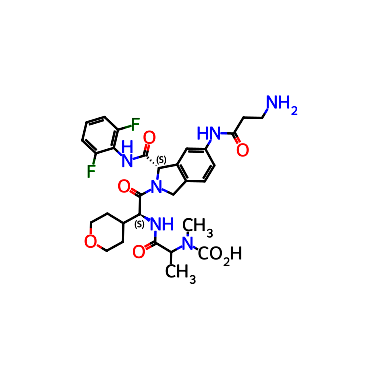 CC(C(=O)N[C@H](C(=O)N1Cc2ccc(NC(=O)CCN)cc2[C@H]1C(=O)Nc1c(F)cccc1F)C1CCOCC1)N(C)C(=O)O